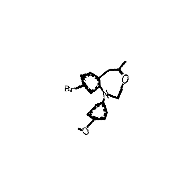 COc1ccc(N2CCOC(C)Cc3ccc(Br)cc32)cc1